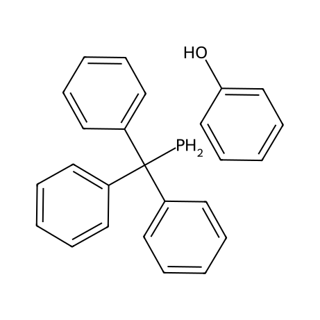 Oc1ccccc1.PC(c1ccccc1)(c1ccccc1)c1ccccc1